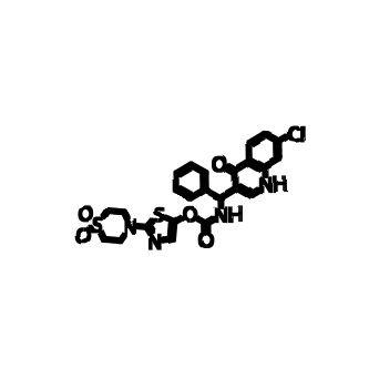 O=C(NC(c1ccccc1)c1c[nH]c2cc(Cl)ccc2c1=O)Oc1cnc(N2CCS(=O)(=O)CC2)s1